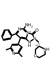 Cc1cc(-c2c(-c3ccccc3)nc(N)[n+]3c(=O)n(C[C@H]4COCCN4)[nH]c23)cc(C)n1